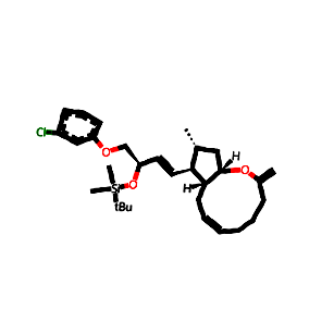 C=C1CCC/C=C\C[C@@H]2[C@@H](/C=C/[C@H](COc3cccc(Cl)c3)O[Si](C)(C)C(C)(C)C)[C@H](C)C[C@@H]2O1